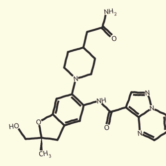 C[C@]1(CO)Cc2cc(NC(=O)c3cnn4cccnc34)c(N3CCC(CC(N)=O)CC3)cc2O1